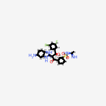 CC(=N)NS(=O)(=O)c1cccc(C(=O)/C(C(=O)c2cc(F)cc(F)c2)=C2/Nc3ccc(N)cc3N2)c1